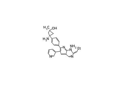 CC/C=C1/N=Cc2cc(-c3cccnc3)c(-c3ccc([C@]4(N)C[C@](C)(O)C4)cc3)nc2N1N